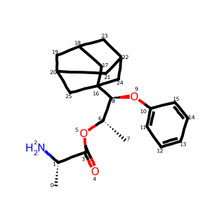 C[C@H](N)C(=O)O[C@@H](C)[C@H](Oc1ccccc1)C12CC3CC(CC(C3)C1)C2